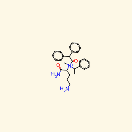 CC(c1ccccc1)[N@@+](C)(C(=O)C(c1ccccc1)c1ccccc1)[C@@H](CCCN)C(N)=O